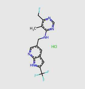 Cc1c(CF)ncnc1NCc1cnc2[nH]c(C(F)(F)F)cc2c1.Cl